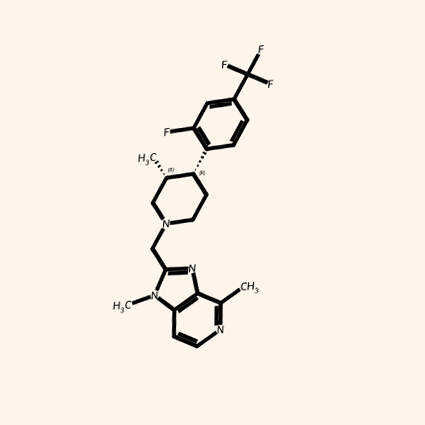 Cc1nccc2c1nc(CN1CC[C@@H](c3ccc(C(F)(F)F)cc3F)[C@@H](C)C1)n2C